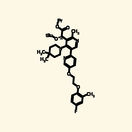 Cc1cc(F)ccc1OCCOc1ccc(-c2cnc(C)c([C@H](OC(C)(C)C)C(=O)OC(C)C)c2N2CCC(C)(C)CC2)nc1